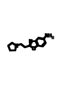 Nc1ccc2oc(CCN3CCCC3)nc2c1